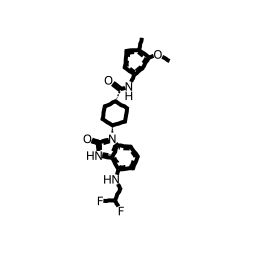 COc1cc(NC(=O)[C@H]2CC[C@@H](n3c(=O)[nH]c4c(NCC(F)F)cccc43)CC2)ccc1C